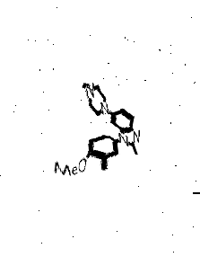 COc1ccc(-n2c(C)nc3ccc(N4CCN(C)CC4)cc32)cc1C